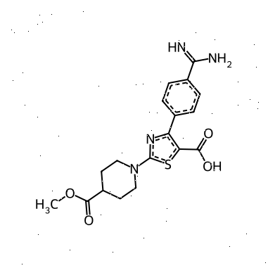 COC(=O)C1CCN(c2nc(-c3ccc(C(=N)N)cc3)c(C(=O)O)s2)CC1